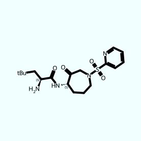 CC(C)(C)C[C@H](N)C(=O)N[C@H]1CCCN(S(=O)(=O)c2ccccn2)CC1=O